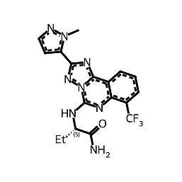 CC[C@H](Nc1nc2c(C(F)(F)F)cccc2c2nc(-c3ccnn3C)nn12)C(N)=O